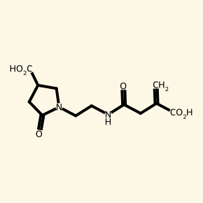 C=C(CC(=O)NCCN1CC(C(=O)O)CC1=O)C(=O)O